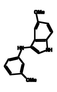 COc1cccc(Nc2c[nH]c3ccc(OC)cc23)c1